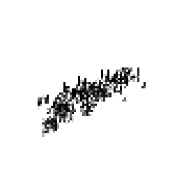 Cc1cnc(-c2cc(-c3cccnc3COc3cc(C)n(-c4cc(-c5ccnc(C(C)(C)O)n5)ncc4C)c(=O)c3Cl)nc(C(C)(C)O)n2)cc1-n1c(C)cc(OCc2ccc(F)cn2)c(Cl)c1=O